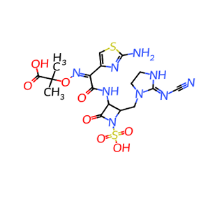 CC(C)(O/N=C(\C(=O)NC1C(=O)N(S(=O)(=O)O)C1CN1CCN/C1=N\C#N)c1csc(N)n1)C(=O)O